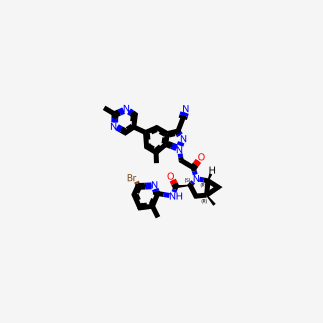 Cc1ncc(-c2cc(C)c3c(c2)c(C#N)nn3CC(=O)N2[C@H](C(=O)Nc3nc(Br)ccc3C)C[C@@]3(C)C[C@@H]23)cn1